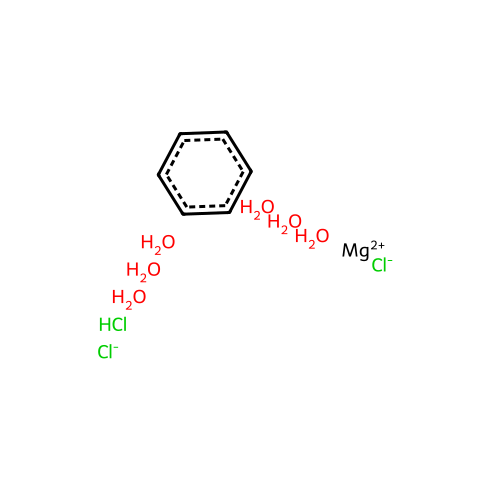 Cl.O.O.O.O.O.O.[Cl-].[Cl-].[Mg+2].c1ccccc1